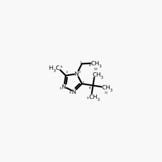 CCn1c(C)nnc1C(C)(C)C